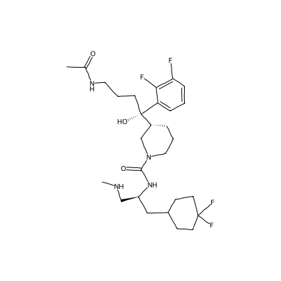 CNC[C@H](CC1CCC(F)(F)CC1)NC(=O)N1CCC[C@@H]([C@@](O)(CCCNC(C)=O)c2cccc(F)c2F)C1